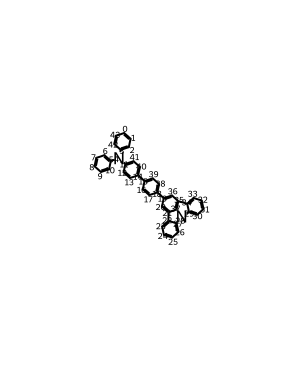 c1ccc(N(c2ccccc2)c2ccc(-c3ccc(-c4cc5c6ccccc6n6c7ccccc7c(c4)c56)cc3)cc2)cc1